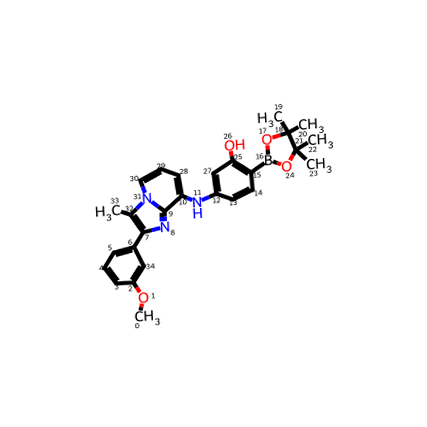 COc1cccc(-c2nc3c(Nc4ccc(B5OC(C)(C)C(C)(C)O5)c(O)c4)cccn3c2C)c1